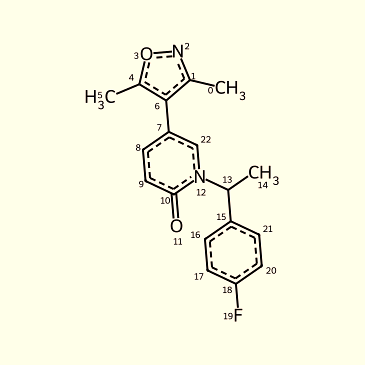 Cc1noc(C)c1-c1ccc(=O)n(C(C)c2ccc(F)cc2)c1